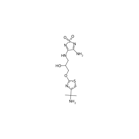 CC(C)(N)c1csc(OCC(O)CNC2=NS(=O)(=O)N=C2N)n1